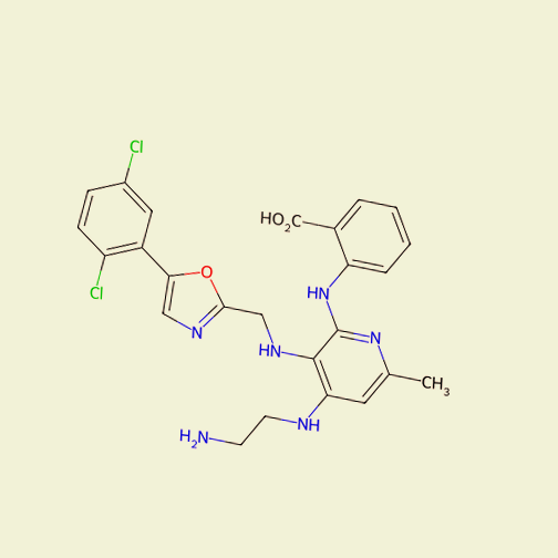 Cc1cc(NCCN)c(NCc2ncc(-c3cc(Cl)ccc3Cl)o2)c(Nc2ccccc2C(=O)O)n1